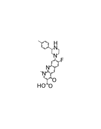 Cc1ccc(C2CN(c3cc4nc5c(cc4cc3F)c(=O)c(C(=O)O)cn5C)CCN2)cc1